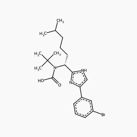 CC(C)CCC[C@H](c1nc(-c2cccc(Br)c2)c[nH]1)N(C(=O)O)C(C)(C)C